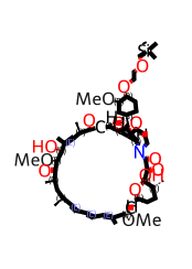 CO[C@H]1C[C@@H]2CC[C@@H](C)[C@@](O)(O2)C(=O)C(=O)N2CCCC3[C@H]2C(=O)O[C@@H](CC(=O)[C@H](C)/C=C(\C)[C@@H](O)[C@@H](OC)C(=O)[C@H](C)C[C@H](C)/C=C/C=C/C=C/1C)[C@H]3C[C@@H]1CC[C@@H](OCCOC[Si](C)(C)C)[C@H](OC)C1